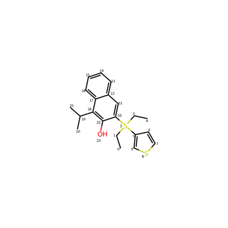 CCS(CC)(c1ccsc1)c1cc2ccccc2c(C(C)C)c1O